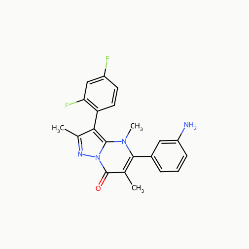 Cc1nn2c(=O)c(C)c(-c3cccc(N)c3)n(C)c2c1-c1ccc(F)cc1F